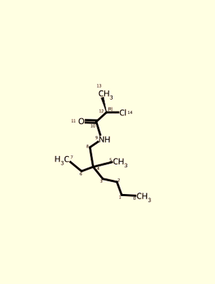 CCCCC(C)(CC)CNC(=O)[C@@H](C)Cl